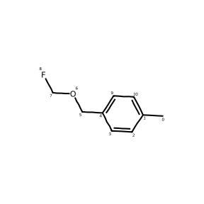 Cc1ccc(COCF)cc1